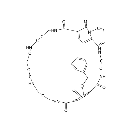 Cn1c2ccc(c1=O)C(=O)NCCCNCCCCNCCCNC(=O)c1ccc(n(OCc3ccccc3)c1=O)C(=O)NCCNC2=O